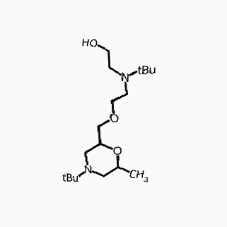 CC1CN(C(C)(C)C)CC(COCCN(CCO)C(C)(C)C)O1